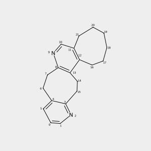 c1cnc2c(c1)CCc1ncc3c(c1CC2)CCCCCC3